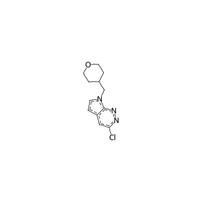 Clc1cc2ccn(CC3CCOCC3)c2nn1